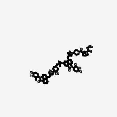 CC(C)(C)OC(=O)N1CC2CC(C(=O)N3CCC(n4cc(Cc5ccc6c7c(cc(C8CC8(C)CN8CCC(C#N)(n9cc(Cc%10ccc%11c%12c(cccc%10%12)C(=O)N%11C%10CCC(=O)NC%10=O)cn9)CC8)cc57)C(=O)N6C5CCC(=O)NC5=O)cn4)CC3)(C2)C1